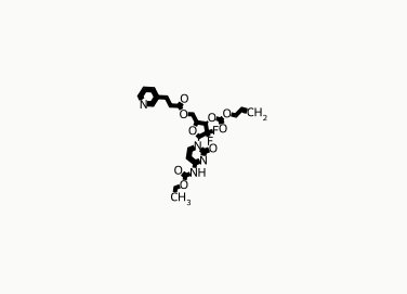 C=CCOC(=O)O[C@@H]1C(COC(=O)CCc2cccnc2)O[C@@H](n2ccc(NC(=O)OCC)nc2=O)C1(F)F